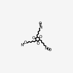 N#COCCCCCC1C(=O)C(CCCCCN=C=O)C(=O)C(CCCCCN=C=O)C1=O